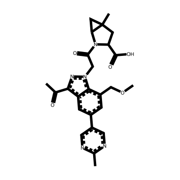 COCc1cc(-c2cnc(C)nc2)cc2c(C(C)=O)nn(CC(=O)N3C(C(=O)O)CC4(C)CC34)c12